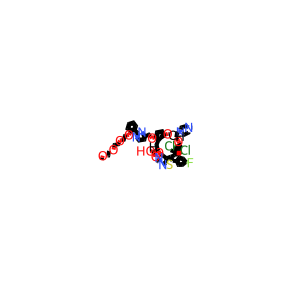 COCCOCCOCCOc1ccccc1-c1nccc(COc2ccc3cc2C[C@H](C(=O)O)OC2N=CN=C4SC(c5ccc(F)cc5)=C(c5c(C)c(Cl)c(c(Cl)c5C)O[C@H](CN5CCN(C)CC5)CO3)C42)n1